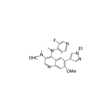 CCn1cc(-c2cc3c(N(C)c4c(C)cncc4F)c(N(C)C=O)cnc3cc2OC)cn1